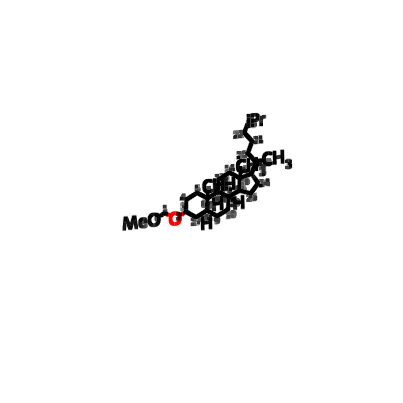 COCO[C@H]1CC[C@@]2(C)[C@@H](CC[C@@H]3[C@@H]2CC[C@]2(C)[C@@H]([C@H](C)CCCC(C)C)CC[C@@H]32)C1